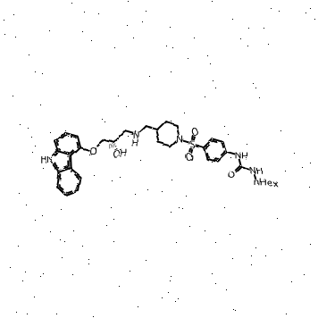 CCCCCCNC(=O)Nc1ccc(S(=O)(=O)N2CCC(CNC[C@H](O)COc3cccc4[nH]c5ccccc5c34)CC2)cc1